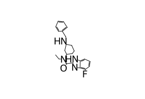 CCN(C(=O)c1nc2c(F)cccc2[nH]1)C1CCCC(NCc2ccccc2)C1